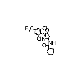 O=C(NC1=NN(c2c(Cl)cc(C(F)(F)F)cc2Cl)C(=O)C1)c1ccccc1